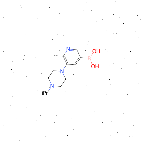 Cc1ncc(B(O)O)cc1N1CCN(C(C)C)CC1